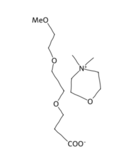 COCCOCCOCCC(=O)[O-].C[N+]1(C)CCOCC1